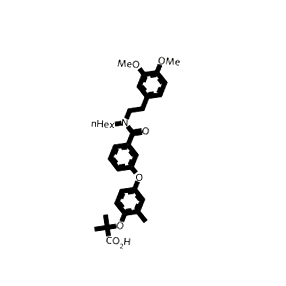 CCCCCCN(CCc1ccc(OC)c(OC)c1)C(=O)c1cccc(Oc2ccc(OC(C)(C)C(=O)O)c(C)c2)c1